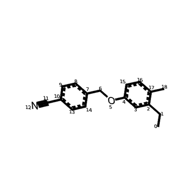 CCc1cc(OCc2ccc(C#N)cc2)ccc1C